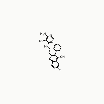 N#Cc1c(N)ncnc1NCCc1nc2ccc(F)cc2c(O)c1-c1ccccc1